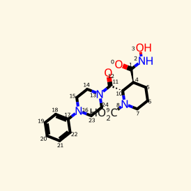 O=C(NO)[C@H]1CCCN(C(=O)O)[C@@H]1C(=O)N1CCN(c2ccccc2)CC1